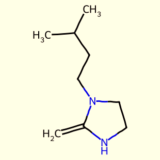 C=C1NCCN1CCC(C)C